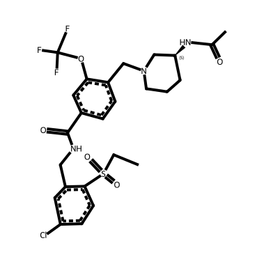 CCS(=O)(=O)c1ccc(Cl)cc1CNC(=O)c1ccc(CN2CCC[C@H](NC(C)=O)C2)c(OC(F)(F)F)c1